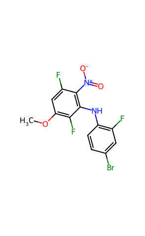 COc1cc(F)c([N+](=O)[O-])c(Nc2ccc(Br)cc2F)c1F